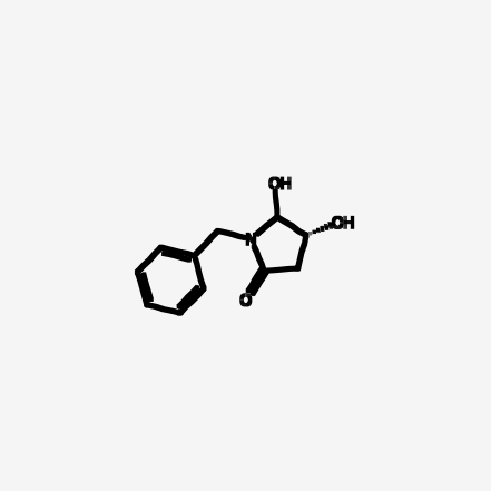 O=C1C[C@@H](O)C(O)N1Cc1ccccc1